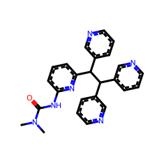 CN(C)C(=O)Nc1cccc(C(c2cccnc2)C(c2cccnc2)c2cccnc2)n1